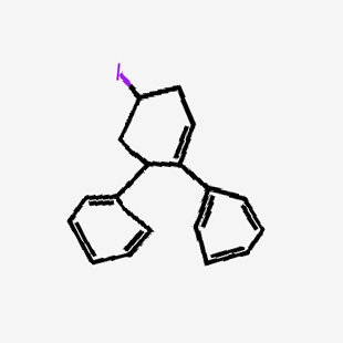 IC1CC=C(c2ccccc2)C(c2ccccc2)C1